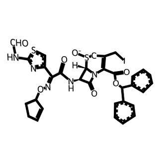 O=CNc1nc(C(=NOC2C=CCC2)C(=O)N[C@@H]2C(=O)N3C(C(=O)OC(c4ccccc4)c4ccccc4)=C(CI)C[S+]([O-])[C@@H]23)cs1